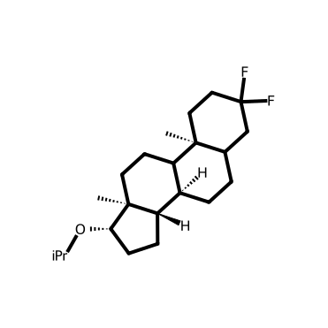 CC(C)O[C@H]1CC[C@H]2[C@@H]3CCC4CC(F)(F)CC[C@]4(C)C3CC[C@]12C